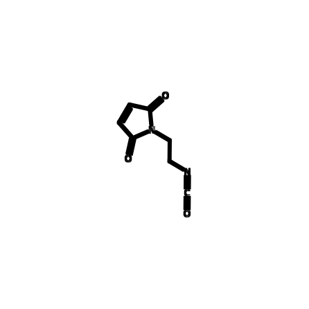 O=C=NCCN1C(=O)C=CC1=O